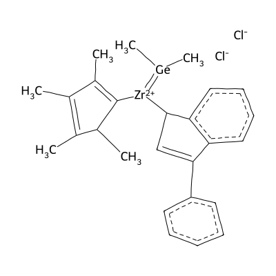 CC1=C(C)C(C)[C]([Zr+2]([CH]2C=C(c3ccccc3)c3ccccc32)=[Ge]([CH3])[CH3])=C1C.[Cl-].[Cl-]